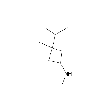 CNC1CC(C)(C(C)C)C1